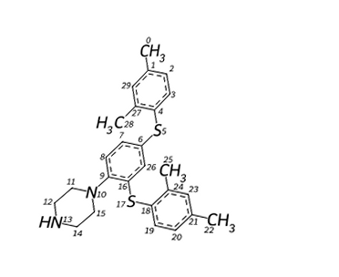 Cc1ccc(Sc2ccc(N3CCNCC3)c(Sc3ccc(C)cc3C)c2)c(C)c1